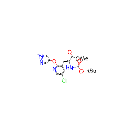 COC(=O)[C@H](Cc1cc(Cl)cnc1Oc1cnn(C)c1)NC(=O)OC(C)(C)C